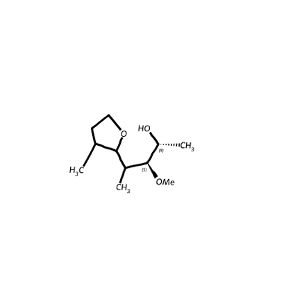 CO[C@@H](C(C)C1OCCC1C)[C@@H](C)O